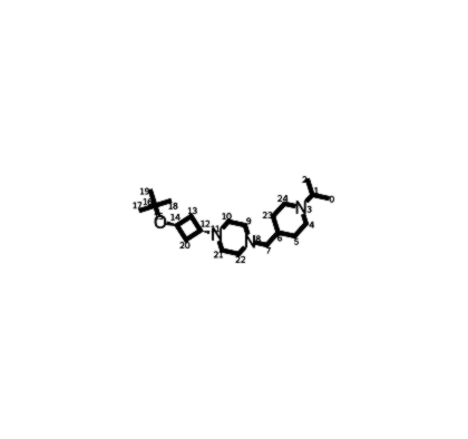 CC(C)N1CCC(CN2CCN([C@H]3C[C@H](OC(C)(C)C)C3)CC2)CC1